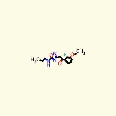 CCCNc1nc(CC(=O)c2cccc(OCC)c2F)no1